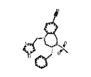 CS(=O)(=O)N1Cc2cc(C#N)ccc2N(Cc2c[nH]cn2)C[C@H]1Cc1ccccc1